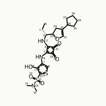 CC[C@@H](Nc1c(Nc2csc(S(=O)(=O)N(C)C)c2O)c(=O)c1=O)C1CC(C2CCCC2)=CO1